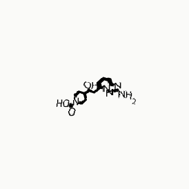 Nc1nc2cccc(CC(O)C3CCN(C(=O)O)CC3)n2n1